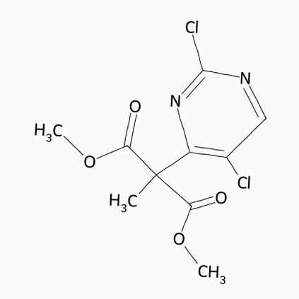 COC(=O)C(C)(C(=O)OC)c1nc(Cl)ncc1Cl